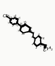 C=CC1CCC(CCC2CCC(c3ccc(Cl)cc3)CC2)CC1